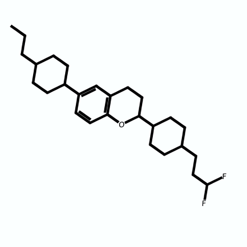 CCCC1CCC(c2ccc3c(c2)CCC(C2CCC(CCC(F)F)CC2)O3)CC1